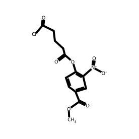 COC(=O)c1ccc(OC(=O)CCCC(=O)Cl)c([N+](=O)[O-])c1